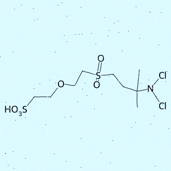 CC(C)(CCS(=O)(=O)CCOCCS(=O)(=O)O)N(Cl)Cl